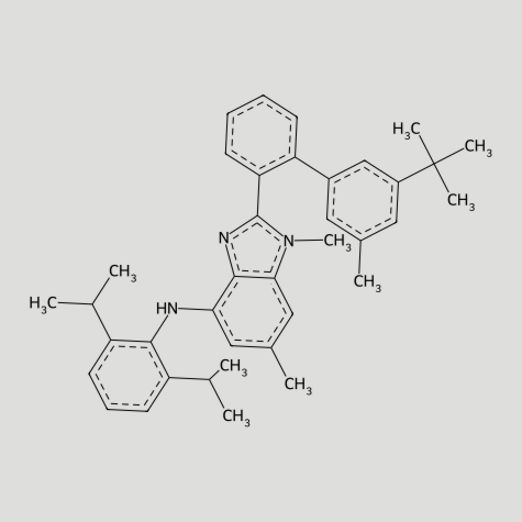 Cc1cc(-c2ccccc2-c2nc3c(Nc4c(C(C)C)cccc4C(C)C)cc(C)cc3n2C)cc(C(C)(C)C)c1